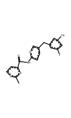 Cc1nccc(C(=O)Nc2ccc(Cc3cc(F)cc(C#N)c3)cn2)n1